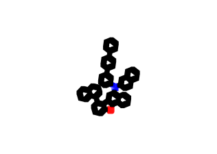 c1ccc(-c2ccc(-c3cccc(N(c4ccc5ccccc5c4)c4cc5c(oc6cccc(-c7cccc8ccccc78)c65)c5ccccc45)c3)cc2)cc1